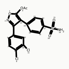 CC(=O)Oc1onc(-c2ccc(Cl)c(Cl)c2)c1-c1ccc(S(N)(=O)=O)cc1